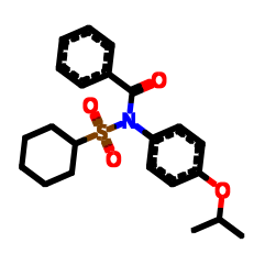 CC(C)Oc1ccc(N(C(=O)c2ccccc2)S(=O)(=O)C2CCCCC2)cc1